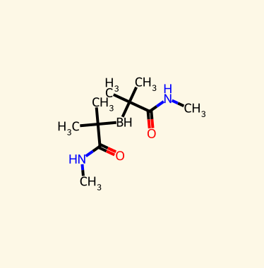 CNC(=O)C(C)(C)BC(C)(C)C(=O)NC